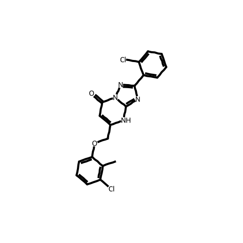 Cc1c(Cl)cccc1OCc1cc(=O)n2nc(-c3ccccc3Cl)nc2[nH]1